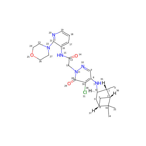 C[C@@H]1[C@H]2C[C@@H](C[C@H]1Nc1cnn(CC(=O)Nc3cccnc3N3CCOCC3)c(=O)c1Cl)C2(C)C